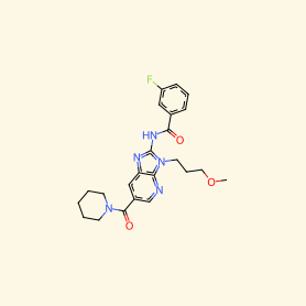 COCCCn1c(NC(=O)c2cccc(F)c2)nc2cc(C(=O)N3CCCCC3)cnc21